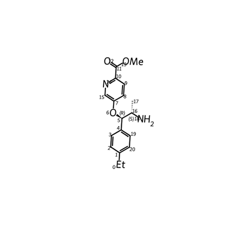 CCc1ccc([C@@H](Oc2ccc(C(=O)OC)nc2)[C@H](C)N)cc1